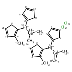 CC1=[C]([Hf+]([C]2=CC=CC2)[GeH]([CH3])[CH3])CC=C1.CC1=[C]([Hf+]([C]2=CC=CC2)[GeH]([CH3])[CH3])CC=C1.[Cl-].[Cl-]